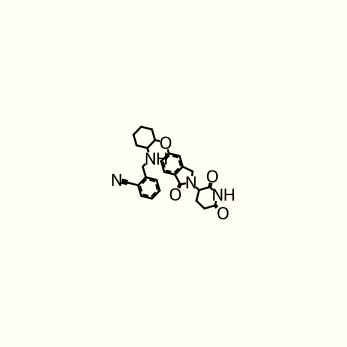 N#Cc1ccccc1CNC1CCCCC1Oc1ccc2c(c1)CN(C1CCC(=O)NC1=O)C2=O